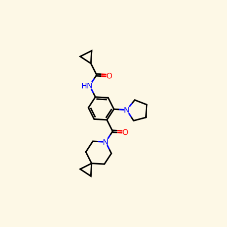 O=C(Nc1ccc(C(=O)N2CCC3(CC2)CC3)c(N2CCCC2)c1)C1CC1